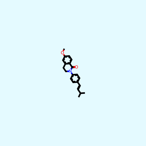 COc1ccc2c(c1)CCN(c1ccc(C=CC(C)C)cc1)C2=O